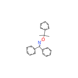 CC(C)(ON=C(c1ccccc1)c1ccccc1)c1ccccc1